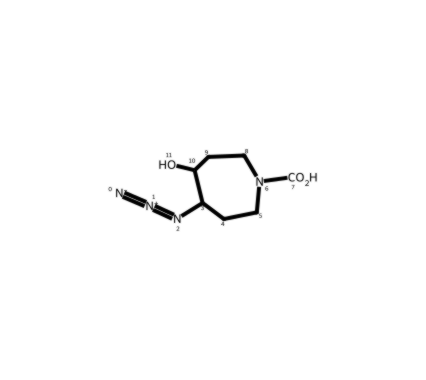 [N-]=[N+]=NC1CCN(C(=O)O)CCC1O